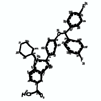 O=C(O)c1ccc2c(c1)nc(-c1ccc(OC(c3ccc(F)cc3)c3ccc(F)cc3)cc1)n2C1CCCCC1